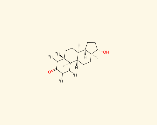 [2H]C1C(=O)C([2H])[C@]2([2H])CC[C@H]3[C@@H]4CC[C@H](O)[C@@]4(C)CC[C@@H]3[C@@]2(C)C1[2H]